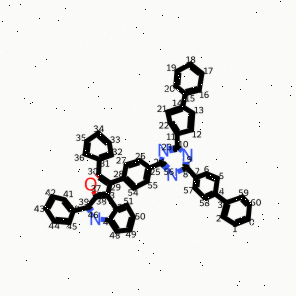 c1ccc(-c2ccc(-c3nc(-c4ccc(-c5ccccc5)cc4)nc(-c4ccc(-c5c(-c6ccccc6)oc6c(-c7ccccc7)nc7ccccc7c56)cc4)n3)cc2)cc1